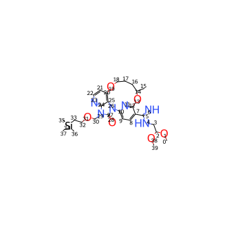 COC(CNC(=N)c1ccc2nc1OC(C)CCCOc1ccnc3c1n-2c(=O)n3COCC[Si](C)(C)C)OC